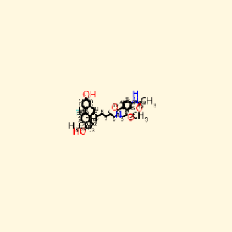 COCCN(CCCCC[C@@H]1Cc2cc(O)ccc2[C@@H]2[C@@H]1[C@@H]1CC[C@H](O)[C@@]1(C)C[C@@H]2F)C(=O)c1ccc(NC(C)=O)cc1